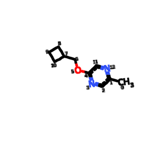 Cc1cnc(OCC2CCC2)cn1